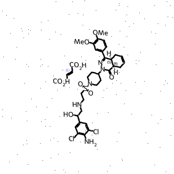 COc1ccc(C2=NN(C3CCN(S(=O)(=O)CCNCC(O)c4cc(Cl)c(N)c(Cl)c4)CC3)C(=O)[C@@H]3CC=CC[C@H]23)cc1OC.O=C(O)/C=C/C(=O)O